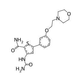 NC(=O)Nc1cc(-c2cccc(OCCN3CCOCC3)c2)sc1C(N)=O